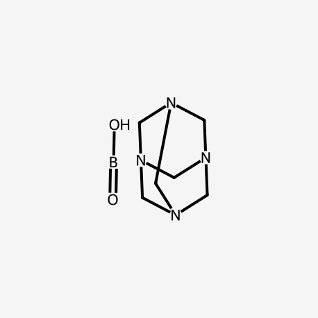 C1N2CN3CN1CN(C2)C3.O=BO